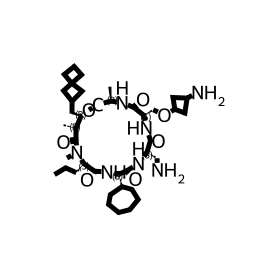 CCC[C@H]1C(=O)N[C@@H](C2CCCCCC2)C(=O)N[C@@H](CN)C(=O)N[C@@H](COC2CC(N)C2)C(=O)N[C@H](C)CO[C@H](CC2CC3(CCC3)C2)[C@@H](C)C(=O)N1C